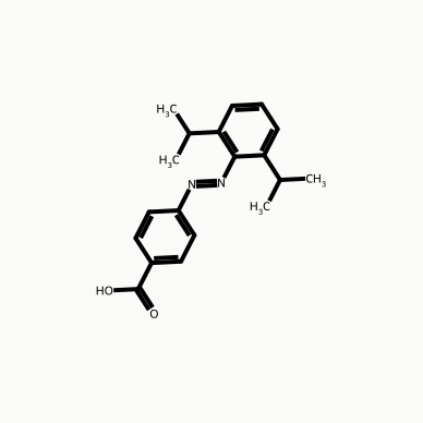 CC(C)c1cccc(C(C)C)c1N=Nc1ccc(C(=O)O)cc1